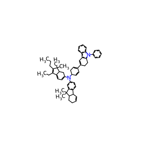 CCCC1=C(CC)C2=CC=C(N(c3ccc4c(c3)C(C)(C)C3CCC=CC43)C3C=CC(C4=Cc5c(n(-c6ccccc6)c6ccccc56)CC4)=CC3)CC2C1(C)C